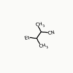 CCC(C)C(C)C#N